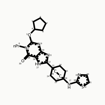 CCCn1c(OC2CCCC2)nc2nc(C34CCC(Nc5nccs5)(CC3)CC4)[nH]c2c1=O